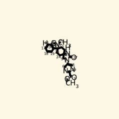 COC(=O)c1ncc(N2CC3(CCC(c4ccccc4)(N(C)C)CC3)NC2=O)cn1